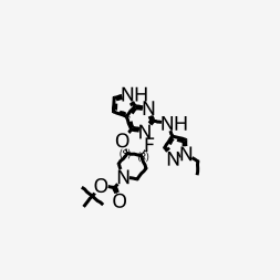 CCn1cc(Nc2nc(O[C@H]3CN(C(=O)OC(C)(C)C)CC[C@H]3F)c3cc[nH]c3n2)cn1